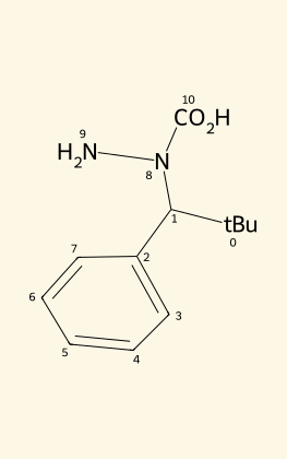 CC(C)(C)C(c1ccccc1)N(N)C(=O)O